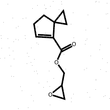 O=C(OCC1CO1)C1=CCCC12CC2